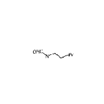 CC(C)CC[N]C=O